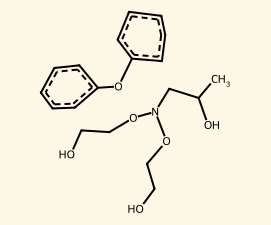 CC(O)CN(OCCO)OCCO.c1ccc(Oc2ccccc2)cc1